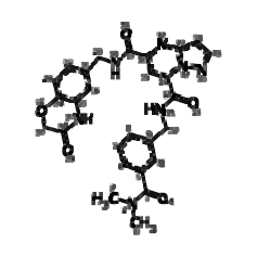 CN(C)C(=O)c1cccc(CNC(=O)c2cc(C(=O)NCc3ccc4c(c3)NC(=O)CO4)nc3ccnn23)c1